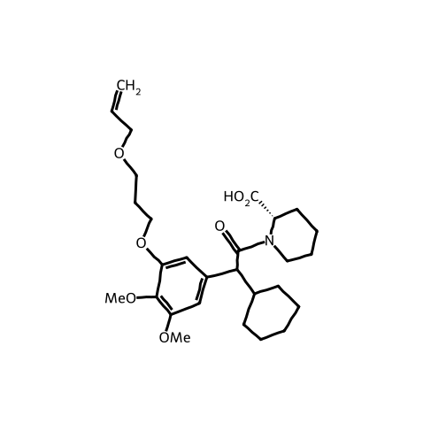 C=CCOCCCOc1cc(C(C(=O)N2CCCC[C@H]2C(=O)O)C2CCCCC2)cc(OC)c1OC